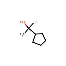 OC(C1CCCC1)(C(F)(F)F)C(F)(F)F